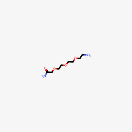 NCCOCCOCCOCC(N)=O